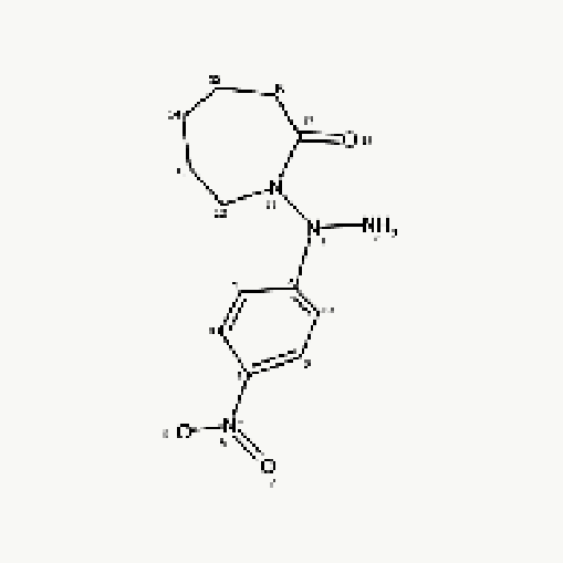 NN(c1ccc([N+](=O)[O-])cc1)N1CCCCCC1=O